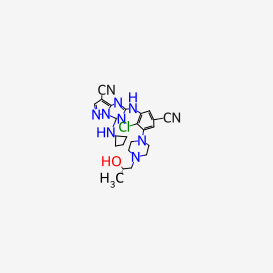 C[C@H](O)CN1CCN(c2cc(C#N)cc(Nc3nc(NC4CCC4)n4ncc(C#N)c4n3)c2Cl)CC1